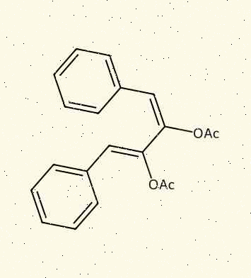 CC(=O)OC(=Cc1ccccc1)C(=Cc1ccccc1)OC(C)=O